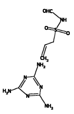 C=CCS(=O)(=O)NC=O.Nc1nc(N)nc(N)n1